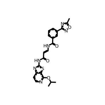 Cc1nc(-c2cccc(C(=O)NC=CC(=O)Nc3nc4ccnc(OC(C)C)c4s3)c2)no1